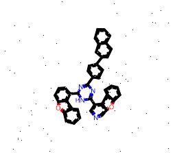 c1ccc2cc(-c3ccc(C4=NC(c5cccc6oc7ccccc7c56)NC(c5cncc6oc7ccccc7c56)=N4)cc3)ccc2c1